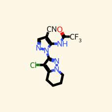 N#Cc1cnn(-c2nn3c(c2Cl)CCCC3)c1NC(=O)C(F)(F)F